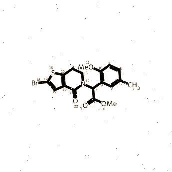 COC(=O)C(c1cc(C)ccc1OC)N1CCc2sc(Br)cc2C1=O